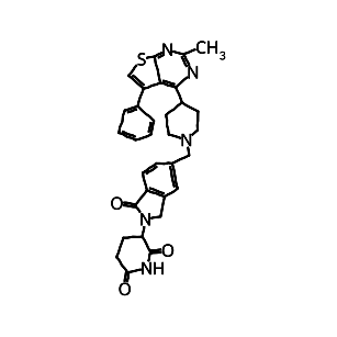 Cc1nc(C2CCN(Cc3ccc4c(c3)CN(C3CCC(=O)NC3=O)C4=O)CC2)c2c(-c3ccccc3)csc2n1